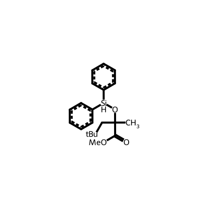 COC(=O)C(C)(CC(C)(C)C)O[SiH](c1ccccc1)c1ccccc1